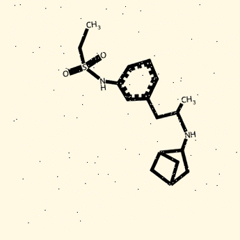 CCS(=O)(=O)Nc1cccc(CC(C)NC2CC3CC2C3)c1